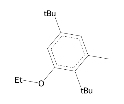 CCOc1cc(C(C)(C)C)cc(C)c1C(C)(C)C